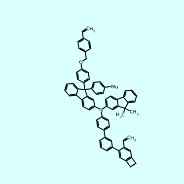 C=Cc1ccc(COc2ccc(C3(c4ccc(C(C)(C)C)cc4)c4ccccc4-c4ccc(N(c5ccc(-c6cccc(-c7cc8c(cc7C=C)CC8)c6)cc5)c5ccc6c(c5)C(C)(C)c5ccccc5-6)cc43)cc2)cc1